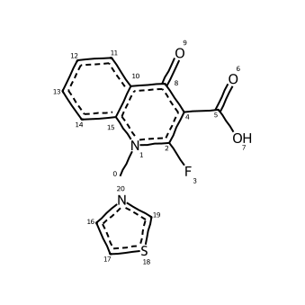 Cn1c(F)c(C(=O)O)c(=O)c2ccccc21.c1cscn1